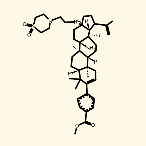 C=C(C)C1CCC2(NCCN3CCS(=O)(=O)CC3)CC[C@]3(N)[C@H](CC[C@@H]4[C@@]5(C)CC=C(c6ccc(C(=O)OC)cc6)C(C)(C)[C@@H]5CC[C@]43C)[C@@H]12